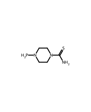 NC(=S)N1CCN(P)CC1